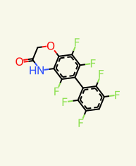 O=C1COc2c(F)c(F)c(-c3c(F)c(F)cc(F)c3F)c(F)c2N1